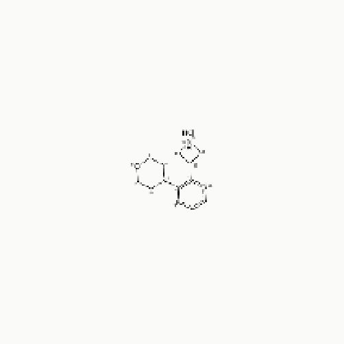 Cl.c1cnc(N2CCOCC2)c(C2CNC2)n1